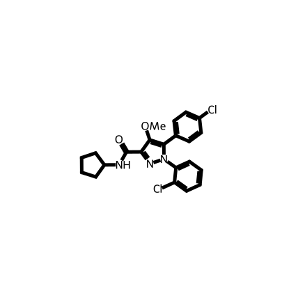 COc1c(C(=O)NC2CCCC2)nn(-c2ccccc2Cl)c1-c1ccc(Cl)cc1